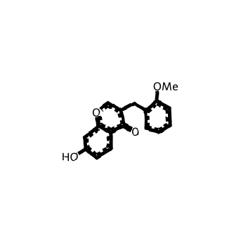 COc1ccccc1Cc1coc2cc(O)ccc2c1=O